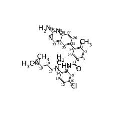 Cc1ccc(C(=O)Nc2cc(Cl)ccc2N(C)CCCN(C)C)cc1-c1ccc2nc(N)ncc2c1